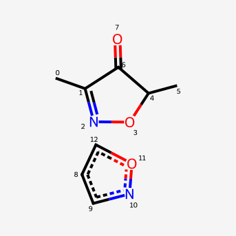 CC1=NOC(C)C1=O.c1cnoc1